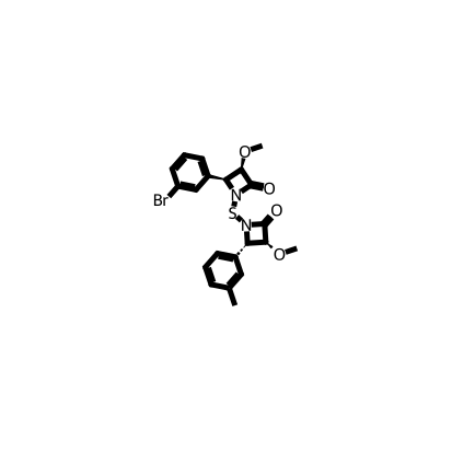 CO[C@H]1C(=O)N(SN2C(=O)[C@H](OC)[C@@H]2c2cccc(Br)c2)[C@H]1c1cccc(C)c1